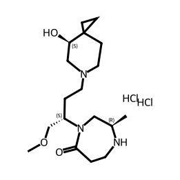 COC[C@H](CCN1CCC2(CC2)[C@H](O)C1)N1C[C@@H](C)NCCC1=O.Cl.Cl